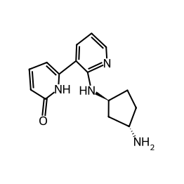 N[C@H]1CC[C@H](Nc2ncccc2-c2cccc(=O)[nH]2)C1